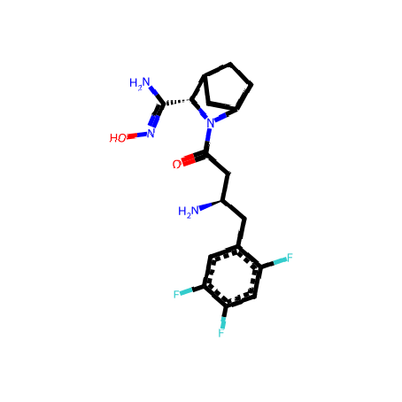 N/C(=N\O)[C@@H]1C2CCC(C2)N1C(=O)C[C@H](N)Cc1cc(F)c(F)cc1F